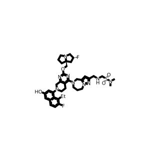 CCc1c(F)ccc2cc(O)cc(N3CCc4c(nc(OC[C@@]56CCCN5C[C@H](F)C6)nc4N4CCCn5nc(CNCS(=O)(=O)N(C)C)cc5C4)C3)c12